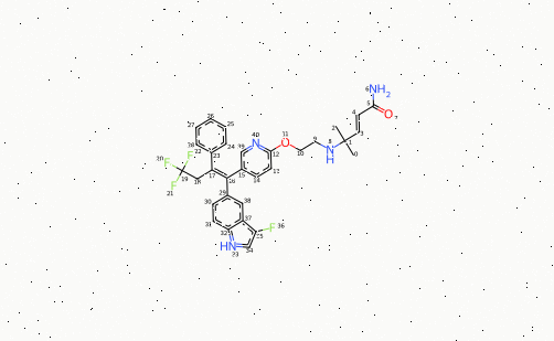 CC(C)(C=CC(N)=O)NCCOc1ccc(/C(=C(/CC(F)(F)F)c2ccccc2)c2ccc3[nH]cc(F)c3c2)cn1